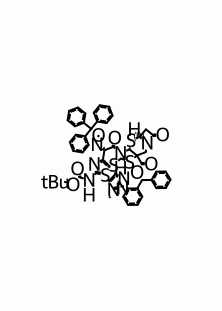 Cn1cc(SCSC2(C(=O)OC(c3ccccc3)c3ccccc3)CN3C(=O)C[C@H]3SC2NC(=O)C(=NOC(c2ccccc2)(c2ccccc2)c2ccccc2)c2csc(NC(=O)OC(C)(C)C)n2)nn1